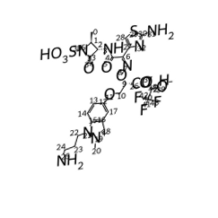 C[C@H]1[C@H](NC(=O)/C(=N\O[C@@H](COc2ccc3c(c2)c[n+](C)n3CCCN)C(=O)O)c2csc(N)n2)C(=O)N1S(=O)(=O)O.O=C([O-])C(F)(F)F